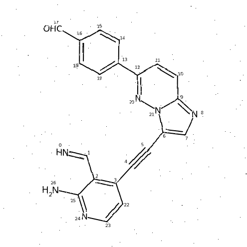 N=Cc1c(C#Cc2cnc3ccc(-c4ccc(C=O)cc4)nn23)ccnc1N